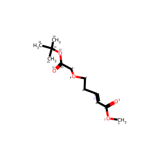 COC(=O)/C=C/CCOCC(=O)OC(C)(C)C